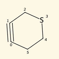 C1#CCSCC1